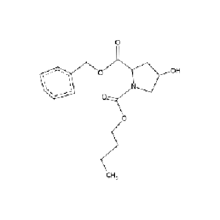 CCCCOC(=O)N1CC(O)CC1C(=O)OCc1ccccc1